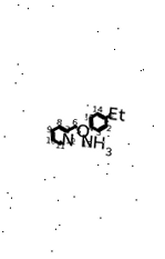 CCc1ccc(OCc2ccccn2)cc1.N